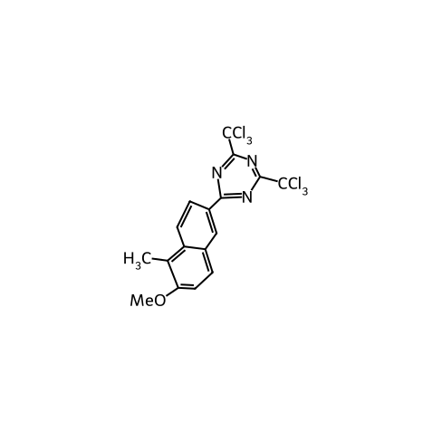 COc1ccc2cc(-c3nc(C(Cl)(Cl)Cl)nc(C(Cl)(Cl)Cl)n3)ccc2c1C